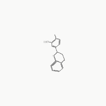 Cc1ccc(C2[C]c3ccccc3CC2)cc1O